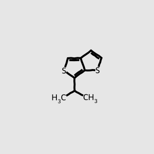 CC(C)c1scc2ccsc12